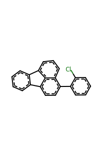 Clc1ccccc1-c1ccc2c3c(cccc13)-c1ccccc1-2